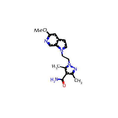 COc1cc2ccn(CCn3nc(C)c(C(N)=O)c3C)c2cn1